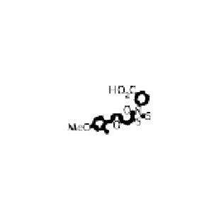 COc1ccc(-c2ccc(/C=C3/SC(=S)N(C4CCCC(C(=O)O)C4)C3=O)o2)c(C)c1